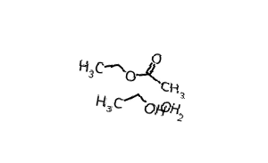 CCO.CCOC(C)=O.O